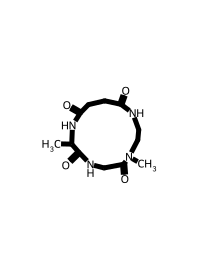 CC1NC(=O)CCC(=O)NCCN(C)C(=O)CNC1=O